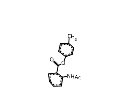 CC(=O)Nc1ccccc1C(=O)Oc1ccc(C)cc1